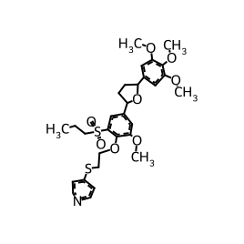 CCCS(=O)(=O)c1cc(C2CCC(c3cc(OC)c(OC)c(OC)c3)O2)cc(OC)c1OCCSc1ccncc1